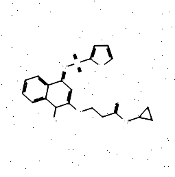 O=C(CCSC1=C/C(=N\S(=O)(=O)c2cccs2)c2ccccc2C1O)NC1CC1